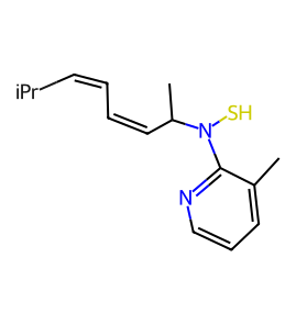 Cc1cccnc1N(S)C(C)/C=C\C=C/C(C)C